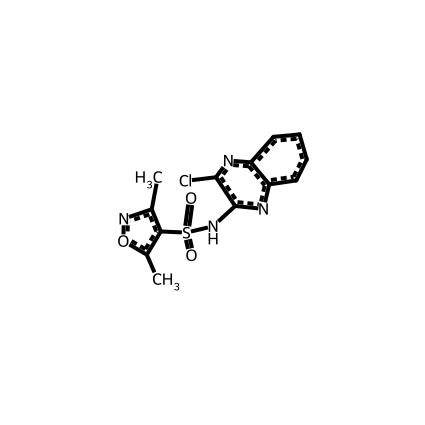 Cc1noc(C)c1S(=O)(=O)Nc1nc2ccccc2nc1Cl